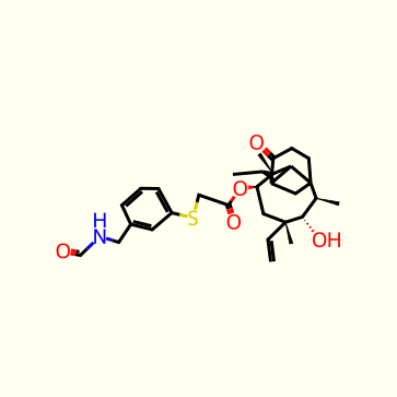 C=C[C@]1(C)C[C@@H](OC(=O)CSc2cccc(CNC=O)c2)[C@]2(C)C(C)CC34CC(CCC3=O)(C42)[C@@H](C)[C@@H]1O